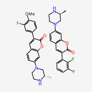 COc1ccc(-c2cc3ccc(N4CCN[C@@H](C)C4)cc3oc2=O)cc1F.C[C@H]1CN(c2ccc3cc(-c4cccc(F)c4F)c(=O)oc3c2)CCN1